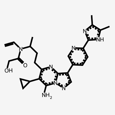 C=CN(C(=O)CO)C(C)CCc1nc2c(-c3ccc(-c4nc(C)c(C)[nH]4)nc3)cnn2c(N)c1C1CC1